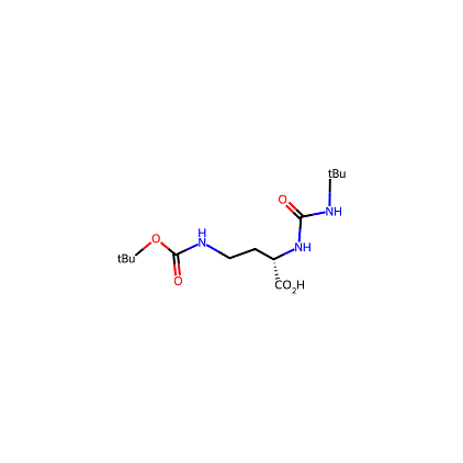 CC(C)(C)NC(=O)N[C@@H](CCNC(=O)OC(C)(C)C)C(=O)O